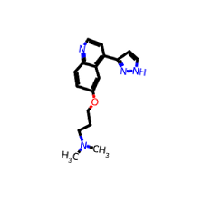 CN(C)CCCOc1ccc2nccc(-c3cc[nH]n3)c2c1